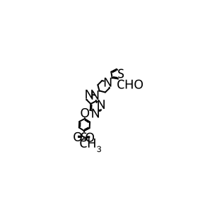 CS(=O)(=O)c1ccc(Oc2ncnc3c2cnn3C2CCN(c3ccsc3C=O)CC2)cc1